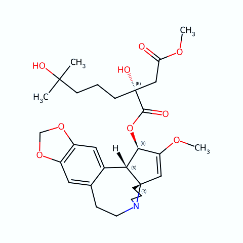 COC(=O)C[C@](O)(CCCC(C)(C)O)C(=O)O[C@H]1C(OC)=C[C@]23CCCN2CCc2cc4c(cc2[C@H]13)OCO4